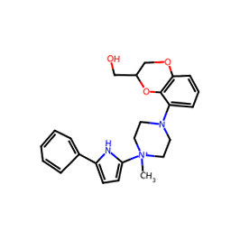 C[N+]1(c2ccc(-c3ccccc3)[nH]2)CCN(c2cccc3c2OC(CO)CO3)CC1